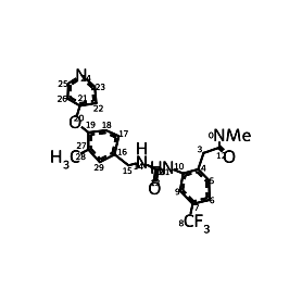 CNC(=O)Cc1ccc(C(F)(F)F)cc1NC(=O)NCc1ccc(Oc2ccncc2)c(C)c1